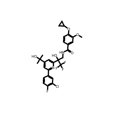 COc1cc(C(=O)NCC(O)(c2cc(C(C)(C)O)cc(-c3ccc(F)c(Cl)c3)n2)C(F)(F)F)ccc1OC1CC1